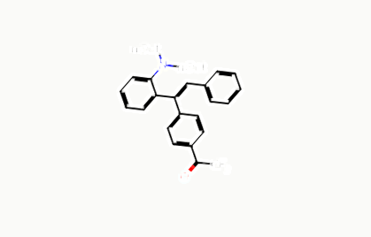 CCCCCCCCN(CCCCCCCC)c1ccccc1C(=Cc1ccccc1)c1ccc(C(=O)C(F)(F)F)cc1